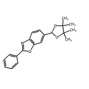 CC1(C)ON(c2ccc3nc(-c4ccccc4)oc3c2)OC1(C)C